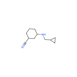 N#CC1CCCC(NCC2CC2)C1